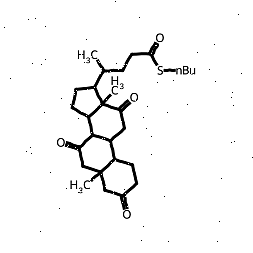 CCCCSC(=O)CCC(C)C1CCC2C3C(=O)CC4(C)CC(=O)CCC4C3CC(=O)C12C